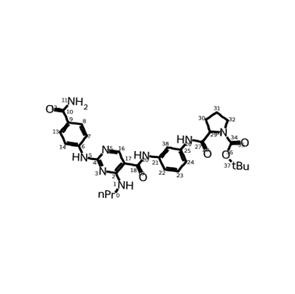 CCCNc1nc(Nc2ccc(C(N)=O)cc2)ncc1C(=O)Nc1cccc(NC(=O)C2CCCN2C(=O)OC(C)(C)C)c1